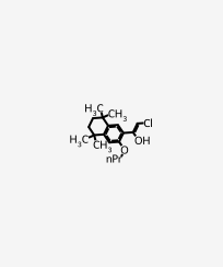 CCCOc1cc2c(cc1C(O)=CCl)C(C)(C)CCC2(C)C